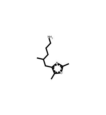 Cc1nc(CC(C)CCCN)c(C)o1